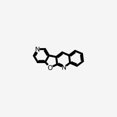 c1ccc2nc3oc4ccncc4c3cc2c1